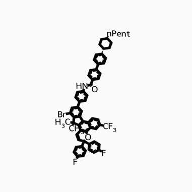 CCCCC[C@H]1CC[C@H](c2ccc(-c3ccc(C(=O)Nc4ccc(-c5cc(Br)c6c(c5)-c5c(c7c(c8cc(C(F)(F)F)ccc58)OC(c5ccc(F)cc5)(c5ccc(F)cc5)C=C7)C6(C)C)cc4)cc3)cc2)CC1